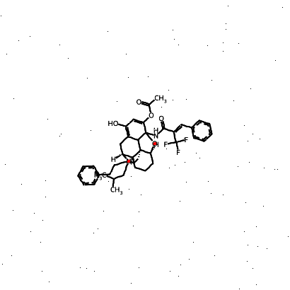 CC(=O)OC1=CC(O)=C2C[C@@H]3[C@@H]4CCC[C@@H]5OC1(NC(=O)C(=Cc1ccccc1)C(F)(F)F)C2[C@@]54CC[N+]3(CCc1ccccc1)CC(C)C